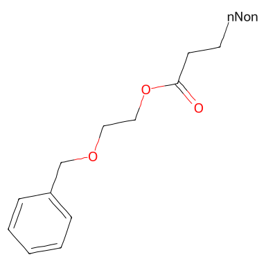 CCCCCCCCCCCC(=O)OCCOCc1ccccc1